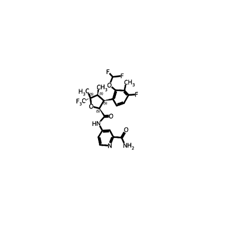 Cc1c(F)ccc([C@H]2[C@@H](C(=O)Nc3ccnc(C(N)=O)c3)O[C@](C)(C(F)(F)F)[C@H]2C)c1OC(F)F